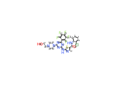 Cc1cccc(Cl)c1NC(=O)c1cnc(Nc2nc(-c3c(F)c(F)c(F)c(F)c3F)nc(N3CCN(CCO)CC3)n2)s1